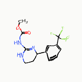 COC(=O)NC1=NC(c2cccc(C(F)(F)F)c2)CCN1